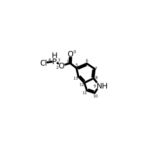 O=C(OPCl)c1ccc2[nH]ccc2c1